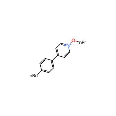 CCCCc1ccc(-c2cc[n+](OCCC)cc2)cc1